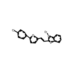 CC[n+]1c(/C=C/c2ccc(-c3ccc(Cl)cc3)o2)sc2ccccc21